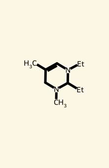 CCC1N(C)CC(C)=CN1CC